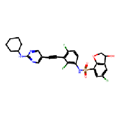 O=S(=O)(Nc1ccc(F)c(C#Cc2cnc(NC3CCCCC3)nc2)c1F)c1cc(Cl)cc2c1OCC2O